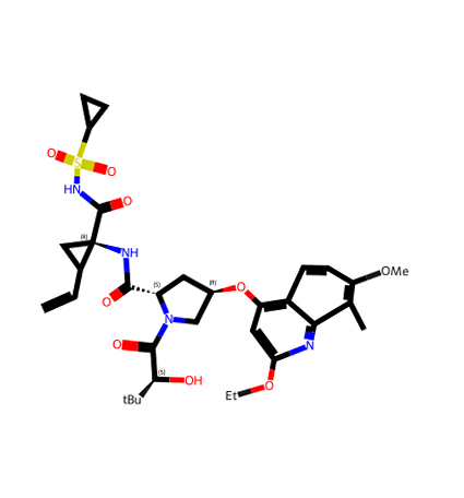 C=CC1C[C@]1(NC(=O)[C@@H]1C[C@@H](Oc2cc(OCC)nc3c(C)c(OC)ccc23)CN1C(=O)[C@@H](O)C(C)(C)C)C(=O)NS(=O)(=O)C1CC1